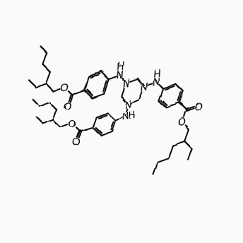 CCCCC(CC)COC(=O)c1ccc(NN2CN(Nc3ccc(C(=O)OCC(CC)CCCC)cc3)CN(Nc3ccc(C(=O)OCC(CC)CCCC)cc3)C2)cc1